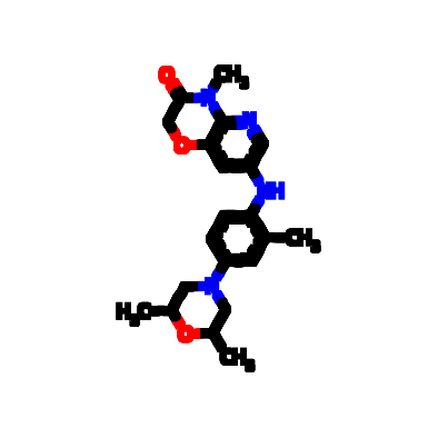 Cc1cc(N2CC(C)OC(C)C2)ccc1Nc1cnc2c(c1)OCC(=O)N2C